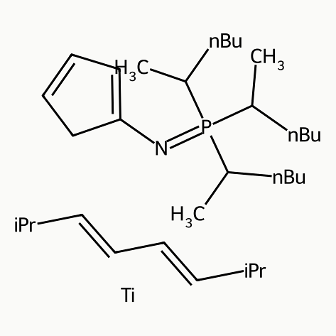 CC(C)C=CC=CC(C)C.CCCCC(C)P(=NC1=CC=CC1)(C(C)CCCC)C(C)CCCC.[Ti]